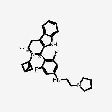 C[C@@H]1Cc2c([nH]c3ccccc23)[C@@H](c2c(F)cc(NCCN3CCCC3)cc2F)N1C12CC(C1)C2